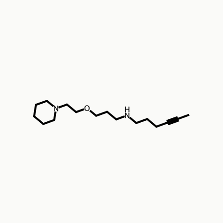 CC#CCCCNCCCOCCN1CCCCC1